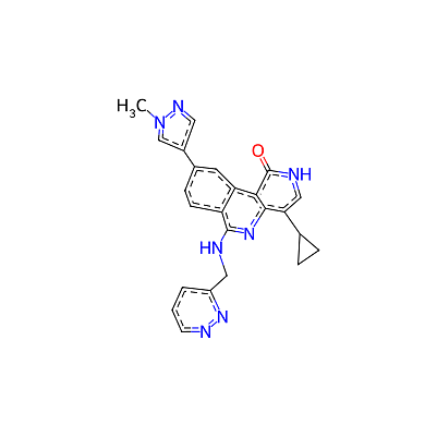 Cn1cc(-c2ccc3c(NCc4cccnn4)nc4c(C5CC5)c[nH]c(=O)c4c3c2)cn1